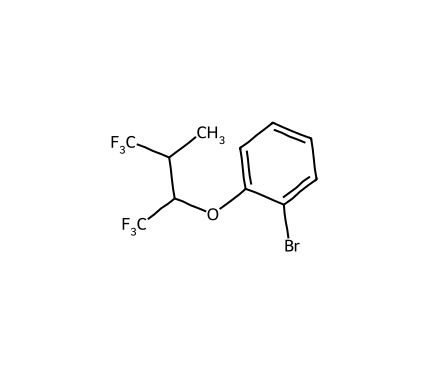 CC(C(Oc1ccccc1Br)C(F)(F)F)C(F)(F)F